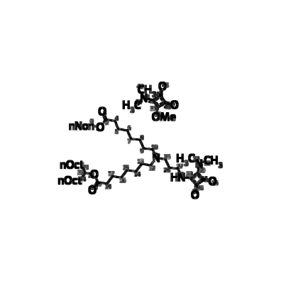 CCCCCCCCCOC(=O)CCCCCCCN(CCCCCCCC(=O)OC(CCCCCCCC)CCCCCCCC)CCCNc1c(N(C)C)c(=O)c1=O.COc1c(N(C)C)c(=O)c1=O